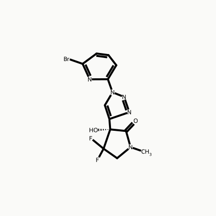 CN1CC(F)(F)[C@@](O)(c2cn(-c3cccc(Br)n3)nn2)C1=O